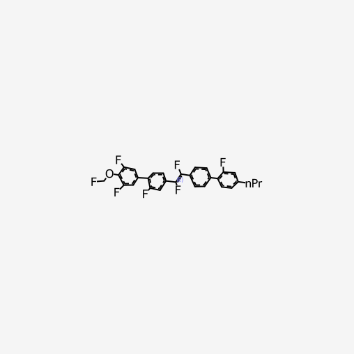 CCCc1ccc(-c2ccc(/C(F)=C(\F)c3ccc(-c4cc(F)c(OCF)c(F)c4)c(F)c3)cc2)c(F)c1